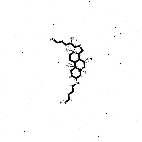 CC(C)CCC[C@@H](C)C1CCC2C3C(CC[C@@]21C)[C@@]1(C)CC[C@H](NCCCCN)C[C@@H]1C[C@H]3O